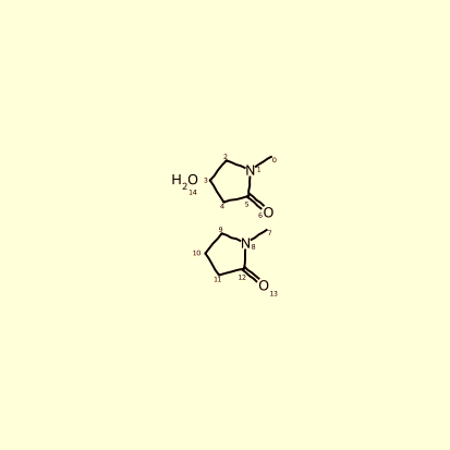 CN1CCCC1=O.CN1CCCC1=O.O